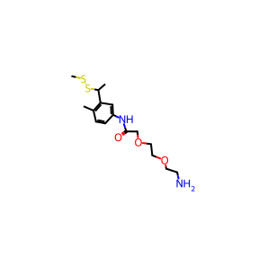 CSSC(C)c1cc(NC(=O)COCCOCCN)ccc1C